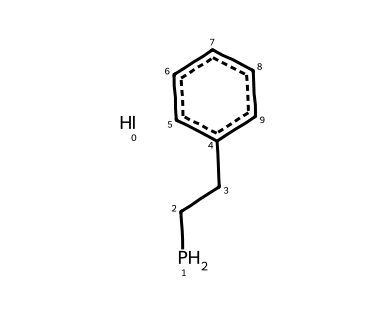 I.PCCc1ccccc1